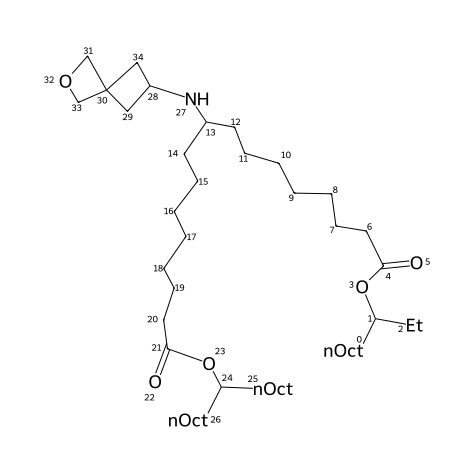 CCCCCCCCC(CC)OC(=O)CCCCCCCC(CCCCCCCC(=O)OC(CCCCCCCC)CCCCCCCC)NC1CC2(COC2)C1